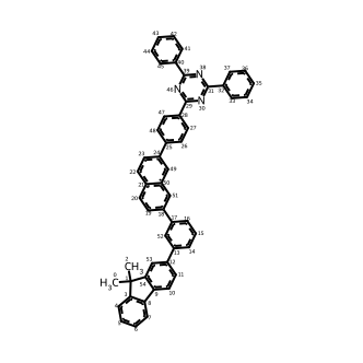 CC1(C)c2ccccc2-c2ccc(-c3cccc(-c4ccc5ccc(-c6ccc(-c7nc(-c8ccccc8)nc(-c8ccccc8)n7)cc6)cc5c4)c3)cc21